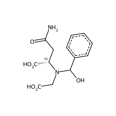 NC(=O)C[C@@H](C(=O)O)N(CC(=O)O)C(O)c1ccccc1